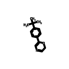 CC(C)(C)c1ccc(C2=CN=CCO2)cc1